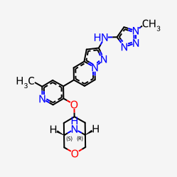 Cc1cc(-c2ccn3nc(Nc4cn(C)nn4)cc3c2)c(OC2C[C@H]3COC[C@@H](C2)N3)cn1